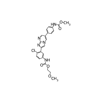 COCCOC(=O)Nc1ccc(Cl)c(-c2cn3cc(-c4ccc(NC(=O)OC)cc4)cnc3n2)c1